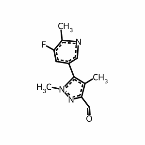 Cc1ncc(-c2c(C)c(C=O)nn2C)cc1F